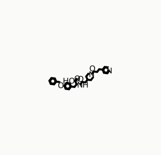 O=C(CC1CCN(C(=O)CCc2ccncc2)CC1)NC(Cc1ccc(OCc2ccccc2)cc1)C(=O)O